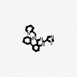 c1ccc(-c2cccc3nc(-c4cncs4)nc(NCc4ccccn4)c23)cc1